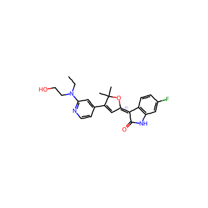 CCN(CCO)c1cc(C2=C/C(=C3\C(=O)Nc4cc(F)ccc43)OC2(C)C)ccn1